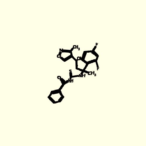 Cc1nocc1C(O)CC(C)(NC(=S)NC(=O)c1ccccc1)c1ccc(F)cc1F